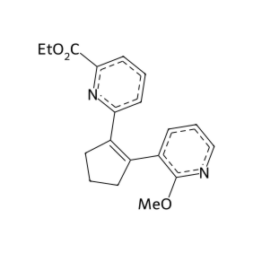 CCOC(=O)c1cccc(C2=C(c3cccnc3OC)CCC2)n1